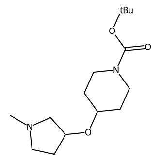 CN1CCC(OC2CCN(C(=O)OC(C)(C)C)CC2)C1